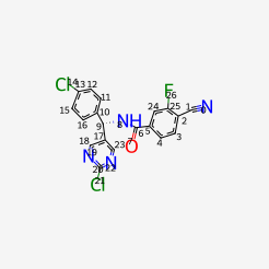 N#Cc1ccc(C(=O)N[C@@H](c2ccc(Cl)cc2)c2cnc(Cl)nc2)cc1F